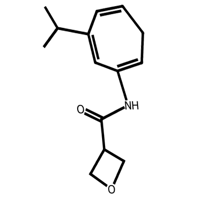 CC(C)C1=CC(NC(=O)C2COC2)=CCC=C1